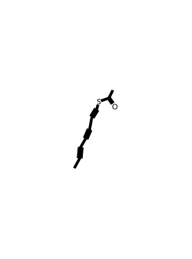 CC#CC#CC#CSC(C)=O